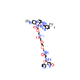 CC(C)N(C)[C@@H]1CCC(N2CC[C@H](Nc3ncnc4ccc(C(F)(F)F)cc34)C2=O)[C@H](NC(=O)COCCNC(=O)CCOCCOCCNC(=O)CCNC(=O)[C@H]2CC(=O)N(C)[C@@H]2c2cccnc2)C1